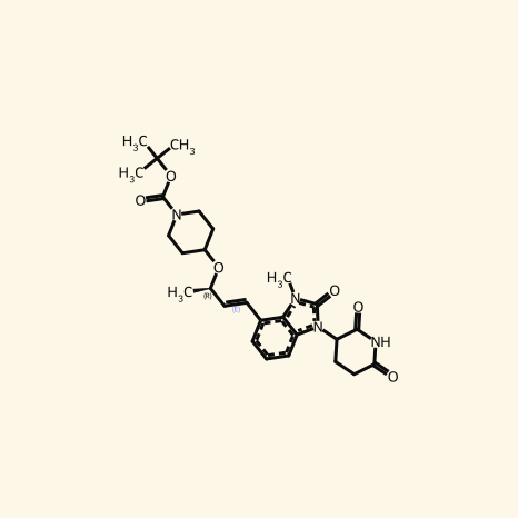 C[C@H](/C=C/c1cccc2c1n(C)c(=O)n2C1CCC(=O)NC1=O)OC1CCN(C(=O)OC(C)(C)C)CC1